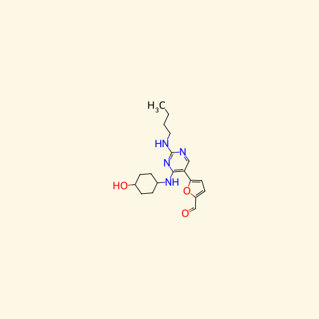 CCCCNc1ncc(-c2ccc(C=O)o2)c(NC2CCC(O)CC2)n1